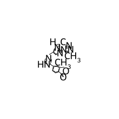 Cc1c(C2CN(Cc3cnc(-n4c(C)nnc4C)nc3)CCN2)ccc2c1COC2=O